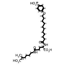 C[C@@H](CCCCNC(=O)CC[C@H](NC(=O)CCCCCCCCCCOc1ccc(C(=O)O)cc1)C(=O)O)C(=O)O